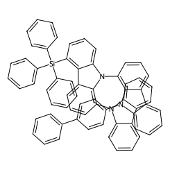 c1ccc(-c2ccc(-n3c4ccccc4c4cccc(-n5c6cccc([Si](c7ccccc7)(c7ccccc7)c7ccccc7)c6c6cccc(-n7c8ccccc8c8ccccc87)c65)c43)cc2)cc1